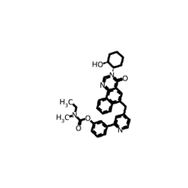 CCN(C)C(=O)Oc1cccc(-c2cc(Cc3cc4c(=O)n([C@H]5CCCC[C@@H]5O)cnc4c4ccccc34)ccn2)c1